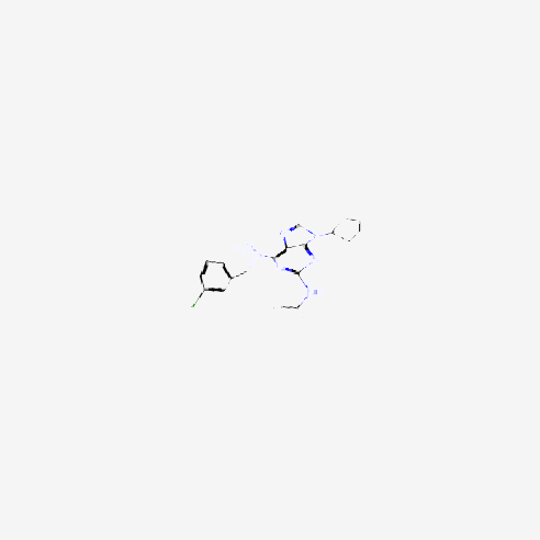 CC[C@@H](Nc1nc(N(N)Cc2cccc(Cl)c2)c2ncn(C3CCCC3)c2n1)C(=O)O